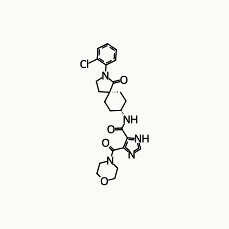 O=C(N[C@H]1CC[C@@]2(CCN(c3ccccc3Cl)C2=O)CC1)c1[nH]cnc1C(=O)N1CCOCC1